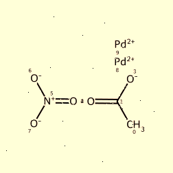 CC(=O)[O-].O=[N+]([O-])[O-].[Pd+2].[Pd+2]